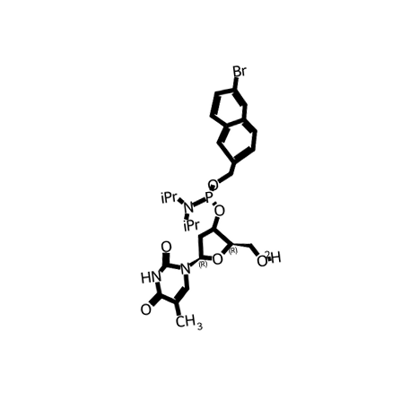 [2H]OC[C@H]1O[C@@H](n2cc(C)c(=O)[nH]c2=O)CC1OP(OCc1ccc2cc(Br)ccc2c1)N(C(C)C)C(C)C